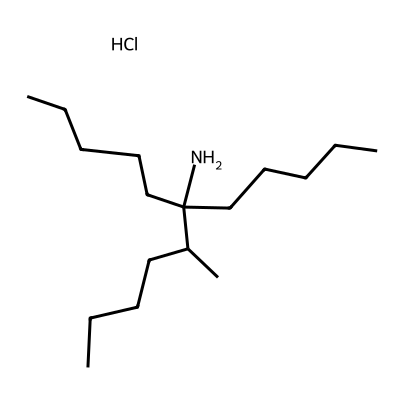 CCCCCC(N)(CCCCC)C(C)CCCC.Cl